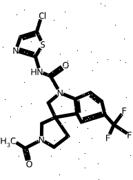 CC(=O)N1CCC2(C1)CN(C(=O)Nc1ncc(Cl)s1)c1ccc(C(F)(F)F)cc12